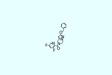 O=C(c1ncc(F)cc1F)N1CCn2nc(OCc3ccccc3)cc2C1